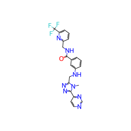 Cn1c(CNc2cccc(C(=O)NCc3cccc(C(F)(F)F)n3)c2)nnc1-c1ccncn1